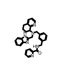 O=C(NCc1cccc(CN(Cc2nc3ccccc3[nH]2)C2CCCc3cccnc32)c1)c1ccccn1